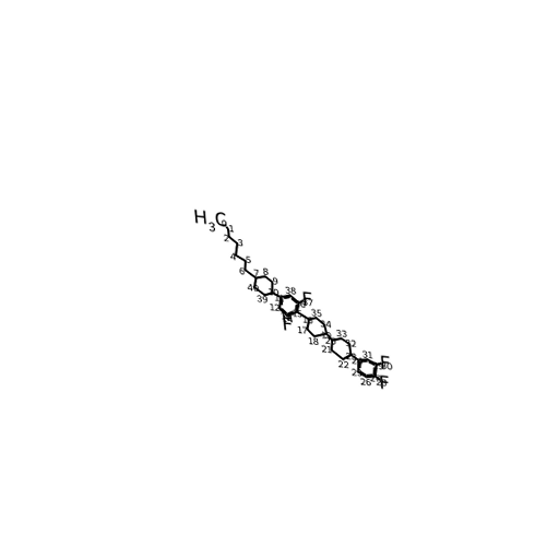 CCCCCCCC1CCC(c2cc(F)c(C3CCC(C4CCC(c5ccc(F)c(F)c5)CC4)CC3)c(F)c2)CC1